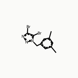 Cc1cc(C)cc(Cn2nnc(Br)c2Br)c1